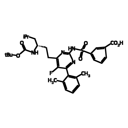 Cc1cccc(C)c1-c1nc(NS(=O)(=O)c2cccc(C(=O)O)c2)nc(CC[C@@H](CC(C)C)NC(=O)OC(C)(C)C)c1F